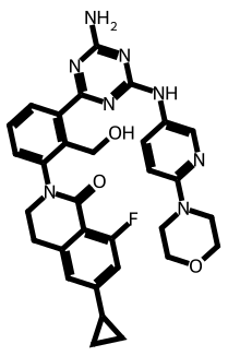 Nc1nc(Nc2ccc(N3CCOCC3)nc2)nc(-c2cccc(N3CCc4cc(C5CC5)cc(F)c4C3=O)c2CO)n1